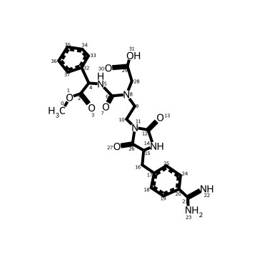 COC(=O)C(NC(=O)N(CCN1C(=O)NC(Cc2ccc(C(=N)N)cc2)C1=O)CC(=O)O)c1ccccc1